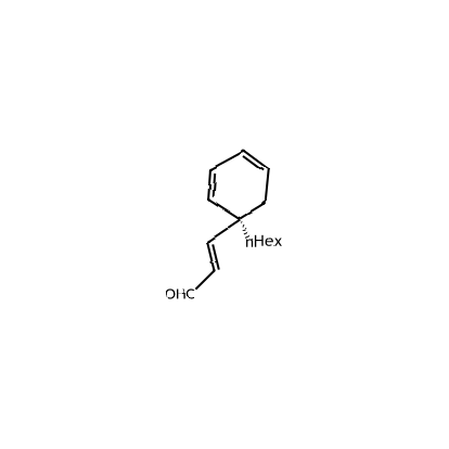 CCCCCC[C@]1(/C=C/C=O)C=CC=CC1